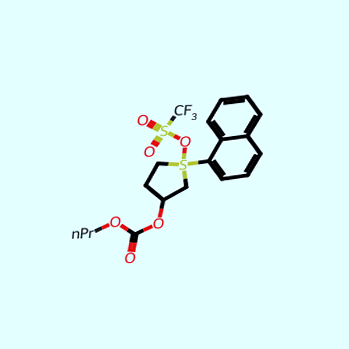 CCCOC(=O)OC1CCS(OS(=O)(=O)C(F)(F)F)(c2cccc3ccccc23)C1